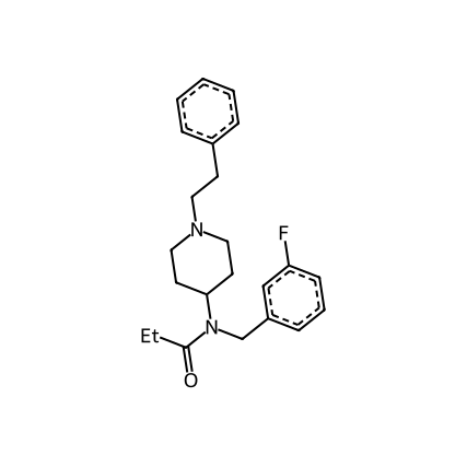 CCC(=O)N(Cc1cccc(F)c1)C1CCN(CCc2ccccc2)CC1